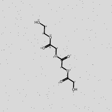 O=C(CO)OCC(=O)OCC(=O)OCCO